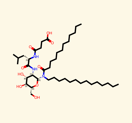 CCCCCCCCCCCCCCN(C(=O)CCCCCCCCCCC)[C@@H]1O[C@H](CO)[C@@H](O)[C@H](O)[C@@H]1NC(=O)[C@H](CC(C)C)NC(=O)CCC(=O)O